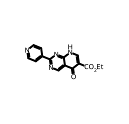 CCOC(=O)c1c[nH]c2nc(-c3ccncc3)ncc2c1=O